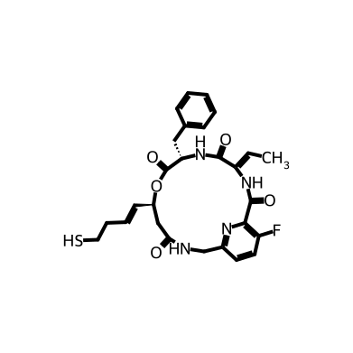 C/C=C1\NC(=O)c2nc(ccc2F)CNC(=O)C[C@@H](/C=C/CCS)OC(=O)[C@H](Cc2ccccc2)NC1=O